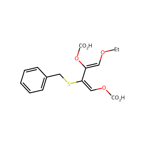 CCOC=C(OC(=O)O)C(=COC(=O)O)SCc1ccccc1